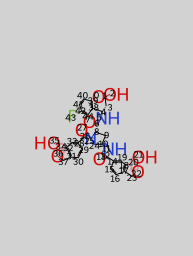 O=C(O)C[C@H](NC(=O)[C@@H]1C[C@@H](NC(=O)c2ccc3c(c2)B(O)OC3)CN1C(=O)c1ccc2c(c1)B(O)OC2)c1cccc(F)c1